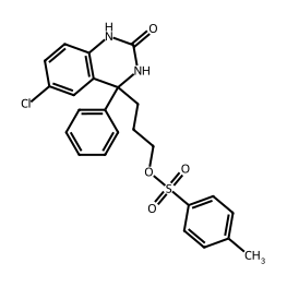 Cc1ccc(S(=O)(=O)OCCCC2(c3ccccc3)NC(=O)Nc3ccc(Cl)cc32)cc1